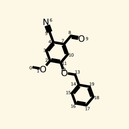 COc1cc(C#N)c(C=O)cc1OCc1ccccc1